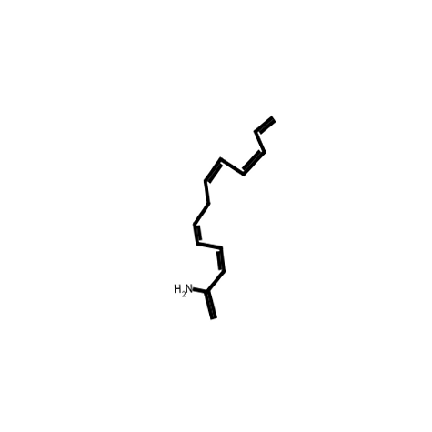 C=C/C=C\C=C/C/C=C\C=C/C(=C)N